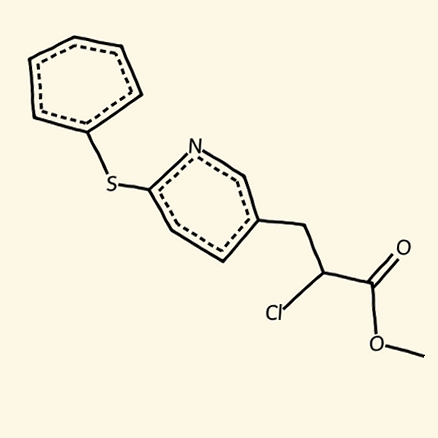 COC(=O)C(Cl)Cc1ccc(Sc2ccccc2)nc1